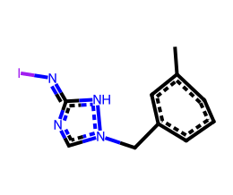 Cc1cccc(Cn2cn/c(=N\I)[nH]2)c1